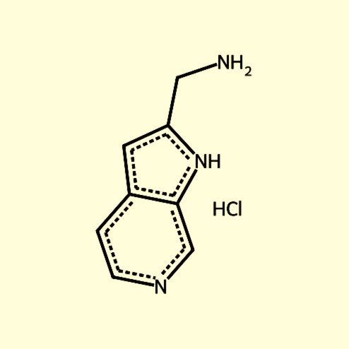 Cl.NCc1cc2ccncc2[nH]1